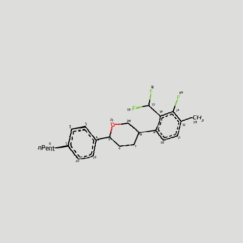 CCCCCc1ccc(C2CCC(c3ccc(C)c(F)c3C(F)F)CO2)cc1